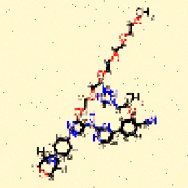 COCCOCCOCCOCCOCCOc1nn(C2CCC(N3[C@@H]4CC[C@H]3COC4)CC2)cc1Nc1nccc(-c2ccc(C#N)c(O[C@@H](C)Cn3cnnn3)c2)n1